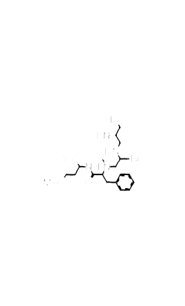 CCC(C)C(CN(C)C(Cc1ccccc1)C(=O)NC(CCSC)C(=O)O)NC[C@H](N)CS